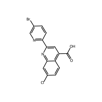 O=C(O)c1cc(-c2ccc(Br)cn2)nc2cc(Cl)ccc12